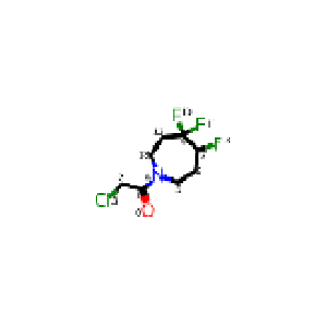 O=C(CCl)N1CCC(F)C(F)(F)CC1